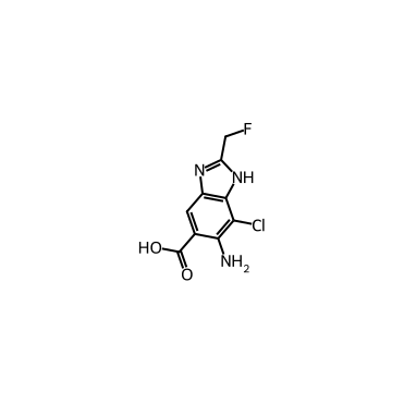 Nc1c(C(=O)O)cc2nc(CF)[nH]c2c1Cl